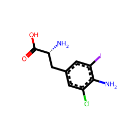 Nc1c(Cl)cc(C[C@@H](N)C(=O)O)cc1I